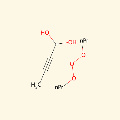 CC#CC(O)O.CCCOOOCCC